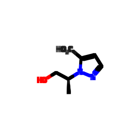 C[C@@H](CO)n1nccc1C(=O)O